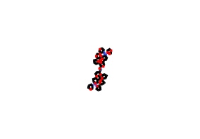 C(=C\c1ccc2c(c1)C(c1ccccc1)(c1ccccc1)c1cc(N(c3ccccc3)c3ccccc3)ccc1-2)/c1ccc2c(c1)C(c1ccccc1)(c1ccccc1)c1cc(N(c3ccccc3)c3ccccc3)ccc1-2